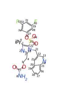 CC(C)c1nc(CCOC(N)=O)n(Cc2cnc3ccccc3c2)c1S(=O)(=O)Oc1cc(F)cc(F)c1